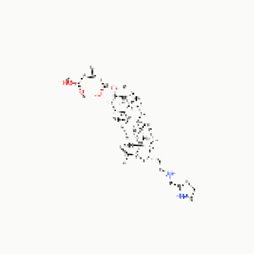 C=C(C)[C@@H]1C[C@@H](CCNCC2CCCN2)C2CC[C@]3(C)[C@H](CC[C@@H]4[C@@]5(C)CC[C@H](OC(=O)CC(C)(C)CC(=O)O)C(C)(C)[C@@H]5CC[C@]43C)[C@H]21